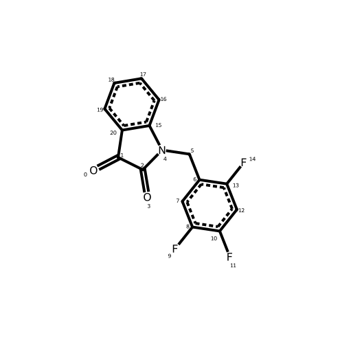 O=C1C(=O)N(Cc2cc(F)c(F)cc2F)c2ccccc21